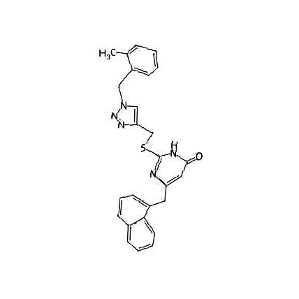 Cc1ccccc1Cn1cc(CSc2nc(Cc3cccc4ccccc34)cc(=O)[nH]2)nn1